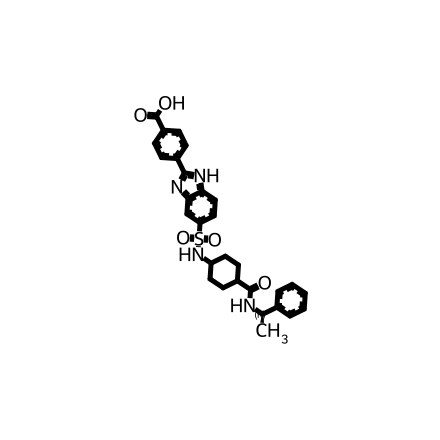 C[C@@H](NC(=O)C1CCC(NS(=O)(=O)c2ccc3[nH]c(-c4ccc(C(=O)O)cc4)nc3c2)CC1)c1ccccc1